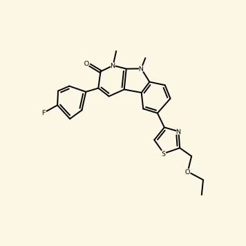 CCOCc1nc(-c2ccc3c(c2)c2cc(-c4ccc(F)cc4)c(=O)n(C)c2n3C)cs1